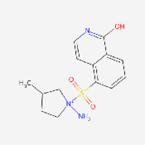 CC1CC[N+](N)(S(=O)(=O)c2cccc3c(O)nccc23)C1